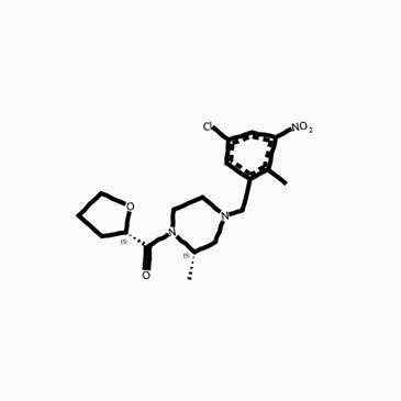 Cc1c(CN2CCN(C(=O)[C@@H]3CCCO3)[C@@H](C)C2)cc(Cl)cc1[N+](=O)[O-]